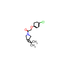 CC1(C)C2C3CN(C(=O)COC4=CC=C(Cl)CC4)CC321